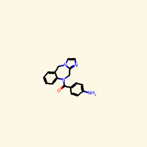 Nc1ccc(C(=O)N2Cc3nccn3Cc3ccccc32)cc1